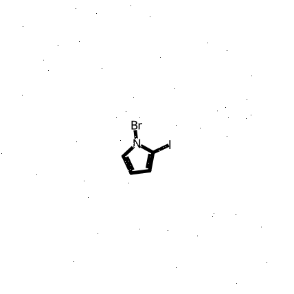 Brn1cccc1I